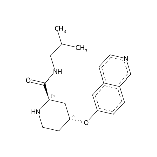 CC(C)CNC(=O)[C@H]1C[C@H](Oc2ccc3cnccc3c2)CCN1